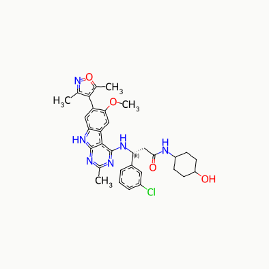 COc1cc2c(cc1-c1c(C)noc1C)[nH]c1nc(C)nc(N[C@H](CC(=O)NC3CCC(O)CC3)c3cccc(Cl)c3)c12